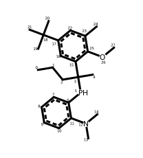 CCCC(C)(Pc1ccccc1N(C)C)c1cc(C(C)(C)C)cc(C)c1OC